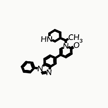 CC(C1CCCNC1)n1cc(-c2ccc3c(c2)ncn3-c2ccccc2)ccc1=O